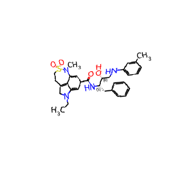 CCN1CC2=C3C1=CC(C(=O)N[C@@H](Cc1ccccc1)[C@H](O)CNc1cccc(C)c1)C=C3N(C)S(=O)(=O)CC2